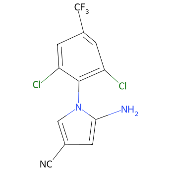 N#Cc1cc(N)n(-c2c(Cl)cc(C(F)(F)F)cc2Cl)c1